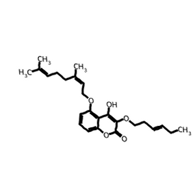 CCC=CCCOc1c(O)c2c(OCC=C(C)CCC=C(C)C)cccc2oc1=O